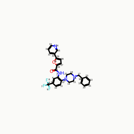 O=C(Nc1cc(C(F)(F)F)ccc1N1CCN(Cc2ccccc2)CC1)c1ccc(-c2cccnc2)o1